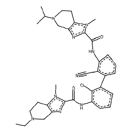 CCN1CCc2c(nc(C(=O)Nc3cccc(-c4cccc(NC(=O)c5nc6c(n5C)CCN(C(C)C)C6)c4C#N)c3Cl)n2C)C1